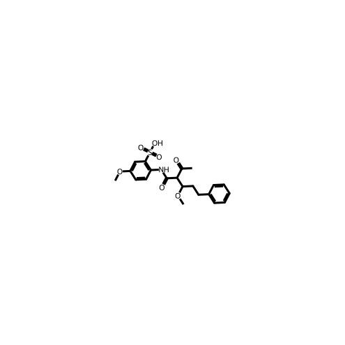 COc1ccc(NC(=O)C(C(C)=O)C(CCc2ccccc2)OC)c(S(=O)(=O)O)c1